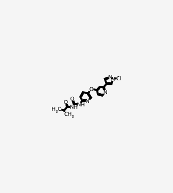 CC(C)C(=O)NC(=O)Nc1ccc(Oc2ccnc(-c3cnn(Cl)c3)c2)cn1